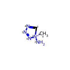 C[N+]1(N)C=NN=N1